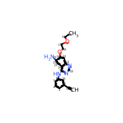 C#Cc1cccc(Nc2ncnc3cc(OCCOCC)c(N)cc23)c1